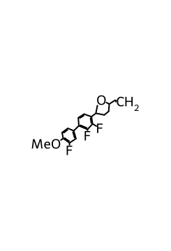 C=CC1CCC(c2ccc(-c3ccc(OC)c(F)c3)c(F)c2F)CO1